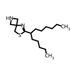 CCCCCCC(CCCCC)C1=NC2(CNC2)CS1